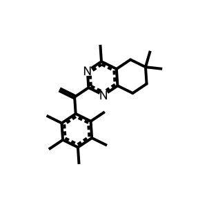 C=C(c1nc(C)c2c(n1)CCC(C)(C)C2)c1c(C)c(C)c(C)c(C)c1C